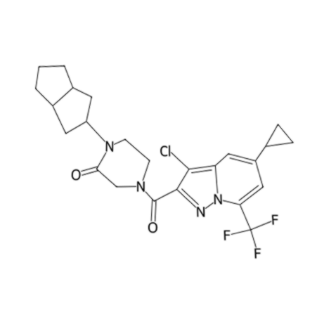 O=C(c1nn2c(C(F)(F)F)cc(C3CC3)cc2c1Cl)N1CCN(C2CC3CCCC3C2)C(=O)C1